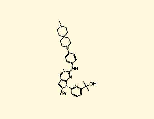 CCCc1cc2cnc(Nc3ccc(N4CCC5(CCN(C)CC5)CC4)cc3)nc2n1-c1cccc(C(C)(C)O)n1